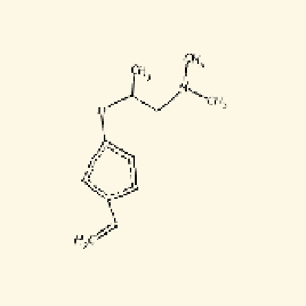 C=Cc1ccc(OC(C)CN(C)C)cc1